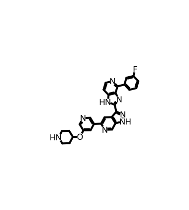 Fc1cccc(-c2nccc3[nH]c(-c4n[nH]c5cnc(-c6cncc(OC7CCNCC7)c6)cc45)nc23)c1